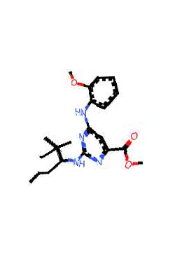 CCCC(Nc1nc(Nc2ccccc2OC)cc(C(=O)OC)n1)C(C)(C)C